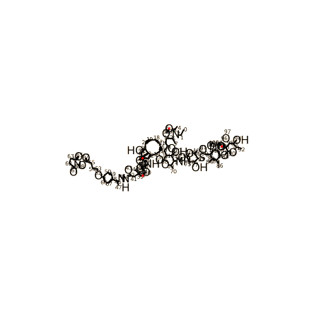 CCN(C(C)=O)C1COC(CC2C(O[C@H]3C#C/C=C\C#C[C@]4(O)CC(=O)C(NC(=O)OC)=C3/C4=C\CSSC(C)(C)CC(=O)N/N=C(\C)c3ccc(OCCCC(=O)ON4C(=O)CCC4=O)cc3)OC(C)C(NOC3CC(O)C(SC(=O)c4c(C)c(I)c(OC5OC(C)C(O)C(OC)C5O)c(OC)c4OC)C(C)O3)C2O)CC1OC